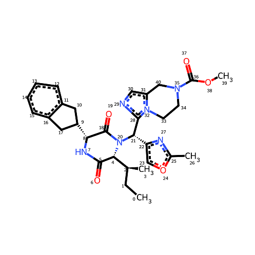 CC[C@H](C)[C@@H]1C(=O)N[C@H](C2Cc3ccccc3C2)C(=O)N1[C@@H](c1coc(C)n1)c1ncc2n1CCN(C(=O)OC)C2